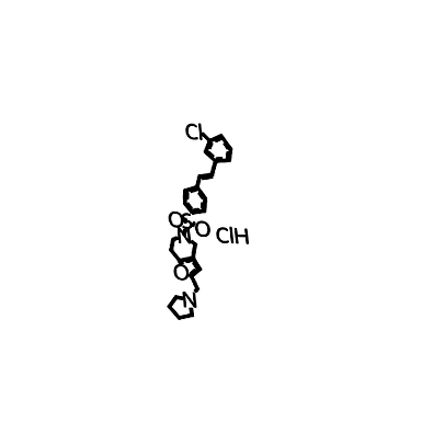 Cl.O=S(=O)(c1ccc(C=Cc2cccc(Cl)c2)cc1)N1CCc2oc(CN3CCCC3)cc2C1